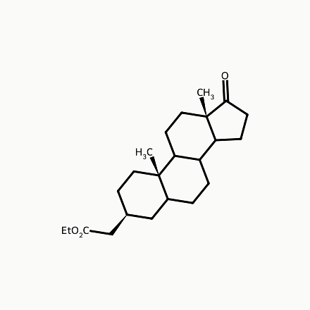 CCOC(=O)C[C@H]1CC[C@@]2(C)C(CCC3C2CC[C@]2(C)C(=O)CCC32)C1